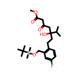 COC(=O)CC(=O)CC(O)(CCc1ccc(F)cc1CO[Si](C)(C)C(C)(C)C)C(C)C